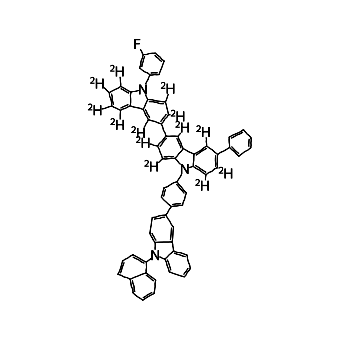 [2H]c1c([2H])c([2H])c2c(c1[2H])c1c([2H])c(-c3c([2H])c([2H])c4c(c3[2H])c3c([2H])c(-c5ccccc5)c([2H])c([2H])c3n4-c3ccc(-c4ccc5c(c4)c4ccccc4n5-c4cccc5ccccc45)cc3)c([2H])c([2H])c1n2-c1cccc(F)c1